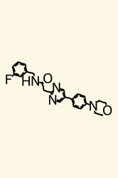 O=C(Cc1ncc(-c2ccc(N3CCOCC3)cc2)cn1)NCc1cccc(F)c1